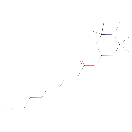 CCCCCCCCCCCCCCCCCC(=O)OC1CC(C)(C)N(C(C)=O)C(C)(C)C1